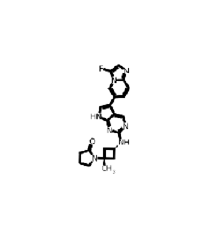 C[C@]1(N2CCCC2=O)C[C@@H](Nc2ncc3c(-c4ccc5ncc(F)n5c4)c[nH]c3n2)C1